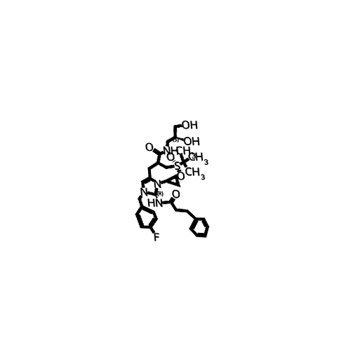 CC(C)(C)S(=O)(=O)CC(CC1=CN(Cc2ccc(F)cc2)[C@@H](NC(=O)CCc2ccccc2)N1C1CC1)C(=O)NC[C@H](O)CO